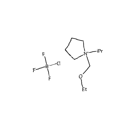 CCOC[N+]1(C(C)C)CCCC1.F[B-](F)(F)Cl